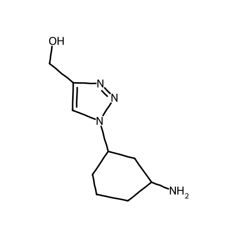 NC1CCCC(n2cc(CO)nn2)C1